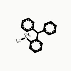 CP(C)c1ccccc1C(c1ccccc1)c1ccccc1